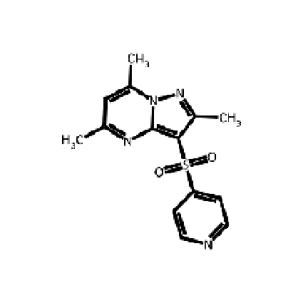 Cc1cc(C)n2nc(C)c(S(=O)(=O)c3ccncc3)c2n1